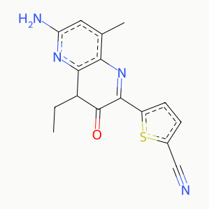 CCC1C(=O)C(c2ccc(C#N)s2)=Nc2c(C)cc(N)nc21